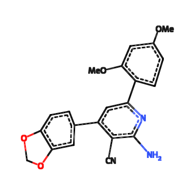 COc1ccc(-c2cc(-c3ccc4c(c3)OCO4)c(C#N)c(N)n2)c(OC)c1